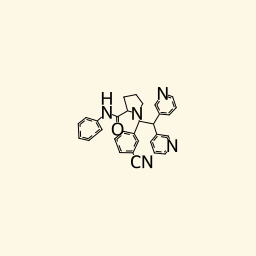 N#Cc1cccc(C(C(c2cccnc2)c2cccnc2)N2CCCC2C(=O)Nc2ccccc2)c1